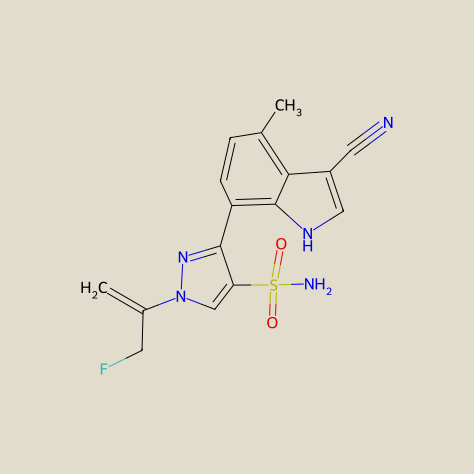 C=C(CF)n1cc(S(N)(=O)=O)c(-c2ccc(C)c3c(C#N)c[nH]c23)n1